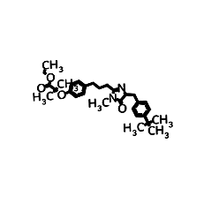 CCOC(=O)C(C)(C)Oc1ccc(CCCC2=NC(Cc3ccc(C(C)(C)C)cc3)C(=O)N2C)cc1